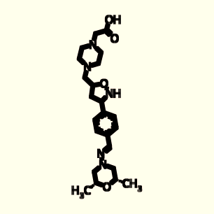 C[C@@H]1CN(N=Cc2ccc(C3CC(CN4CCN(CC(=O)O)CC4)ON3)cc2)C[C@H](C)O1